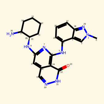 Cn1cc2c(Nc3nc(N[C@@H]4CCCCC4N)cc4cn[nH]c(=O)c34)cccc2n1